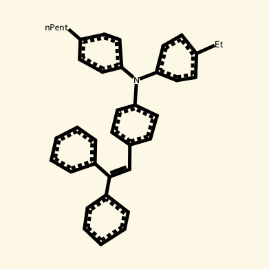 CCCCCc1ccc(N(c2ccc(C=C(c3ccccc3)c3ccccc3)cc2)c2ccc(CC)cc2)cc1